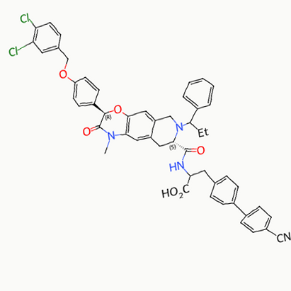 CCC(c1ccccc1)N1Cc2cc3c(cc2C[C@H]1C(=O)NC(Cc1ccc(-c2ccc(C#N)cc2)cc1)C(=O)O)N(C)C(=O)[C@@H](c1ccc(OCc2ccc(Cl)c(Cl)c2)cc1)O3